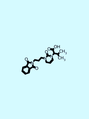 CC(C)C(C(=O)O)N1C=CCN(CCCN2C(=O)c3ccccc3C2=O)C1=O